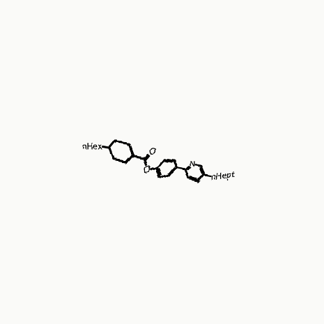 CCCCCCCc1ccc(-c2ccc(OC(=O)C3CCC(CCCCCC)CC3)cc2)nc1